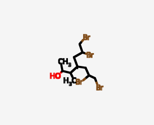 CC(O)C(C)[C](CC(Br)CBr)CC(Br)CBr